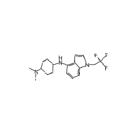 CN(C)C1CCC(Nc2cccc3c2ccn3CC(F)(F)F)CC1